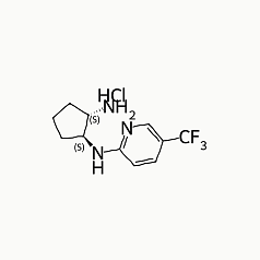 Cl.N[C@H]1CCC[C@@H]1Nc1ccc(C(F)(F)F)cn1